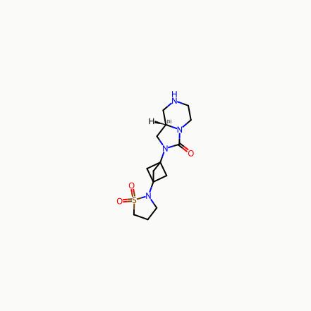 O=C1N2CCNC[C@H]2CN1C12CC(N3CCCS3(=O)=O)(C1)C2